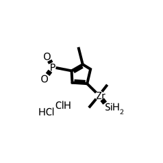 CC1=C(P(=O)=O)C=[C]([Zr]([CH3])([CH3])=[SiH2])C1.Cl.Cl